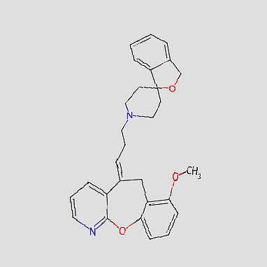 COc1cccc2c1CC(=CCCN1CCC3(CC1)OCc1ccccc13)c1cccnc1O2